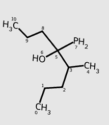 CCCC(C)C(O)(P)CCC